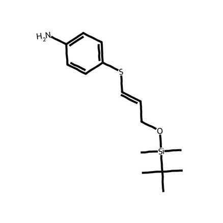 CC(C)(C)[Si](C)(C)OCC=CSc1ccc(N)cc1